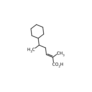 CC(=CCC(C)C1CCCCC1)C(=O)O